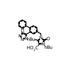 CCCCc1c(C(=O)O)n(CCCC)c(=O)n1Cc1ccc(-c2ccccc2)c(-c2nnn[nH]2)c1